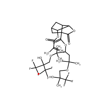 C=C(C)C(=O)OC1C2CC3C1OC(=O)C3(C(=O)OC(CC(C)(C)OCC(C)(O)C(F)(F)F)C(C)(C)OCC(O)(C(F)(F)F)C(F)(F)F)C2